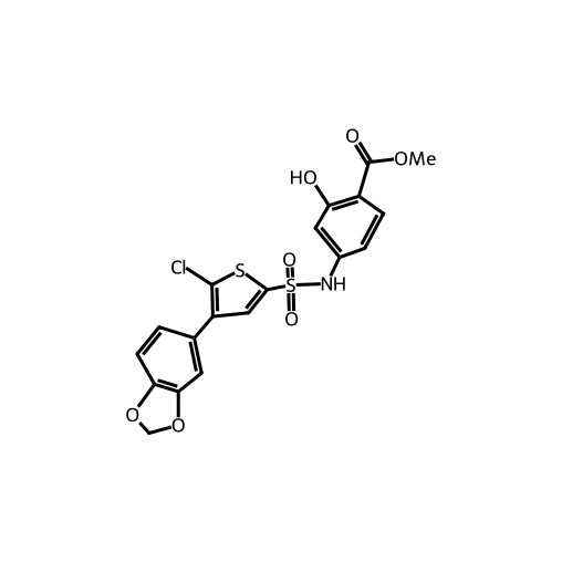 COC(=O)c1ccc(NS(=O)(=O)c2cc(-c3ccc4c(c3)OCO4)c(Cl)s2)cc1O